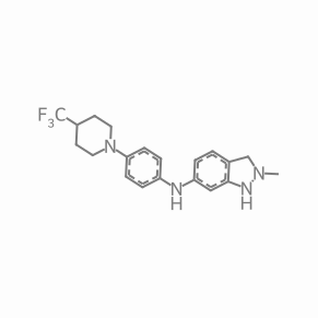 CN1Cc2ccc(Nc3ccc(N4CCC(C(F)(F)F)CC4)cc3)cc2N1